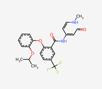 CN/C=C\C(=C/C=O)NC(=O)c1cc(C(F)(F)F)ccc1Oc1ccccc1OC(C)C